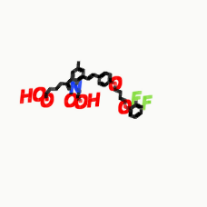 Cc1cc(C=Cc2ccc(OCCCCOc3cccc(F)c3F)cc2)c2c(c1)c(CCCC(=O)O)cn2CC(=O)O